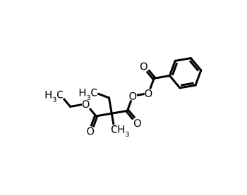 CCOC(=O)C(C)(CC)C(=O)OOC(=O)c1ccccc1